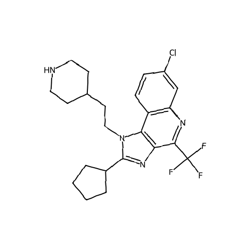 FC(F)(F)c1nc2cc(Cl)ccc2c2c1nc(C1CCCC1)n2CCC1CCNCC1